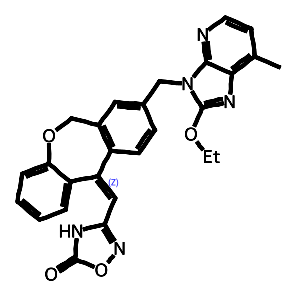 CCOc1nc2c(C)ccnc2n1Cc1ccc2c(c1)COc1ccccc1/C2=C\c1noc(=O)[nH]1